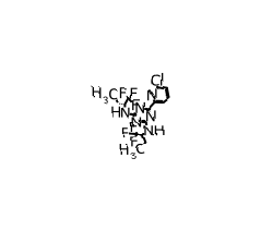 CCC(Nc1nc(N[C@H](CC)C(F)(F)F)nc(-c2cccc(Cl)n2)n1)C(F)(F)F